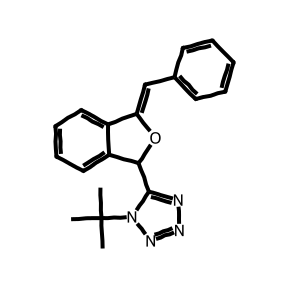 CC(C)(C)n1nnnc1C1O/C(=C\c2ccccc2)c2ccccc21